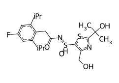 CC(C)c1cc(F)cc(C(C)C)c1CC(=O)/N=[SH](=O)/c1sc(C(C)(C)O)nc1CO